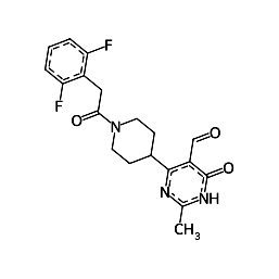 Cc1nc(C2CCN(C(=O)Cc3c(F)cccc3F)CC2)c(C=O)c(=O)[nH]1